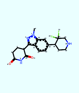 Cn1nc(C2CCC(=O)NC2=O)c2ccc(C3CCNCC3(F)F)cc21